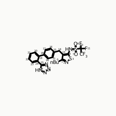 CCCCc1nsc(NS(=O)(=O)C(F)(F)C(F)(F)F)c1Cc1ccc(-c2ccccc2-c2nnn[nH]2)cc1